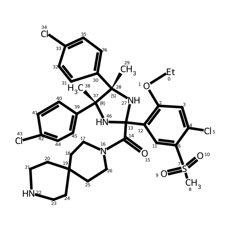 CCOc1cc(Cl)c(S(C)(=O)=O)cc1C1(C(=O)N2CCC3(CCNCC3)CC2)N[C@@](C)(c2ccc(Cl)cc2)[C@@](C)(c2ccc(Cl)cc2)N1